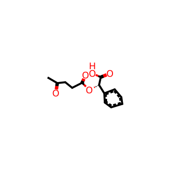 CC(=O)CCC(=O)O[C@H](C(=O)O)c1ccccc1